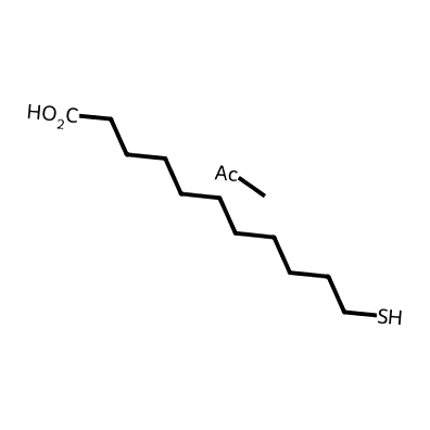 CC(C)=O.O=C(O)CCCCCCCCCCS